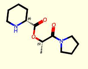 C[C@H](OC(=O)[C@H]1CCCCN1)C(=O)N1CCCC1